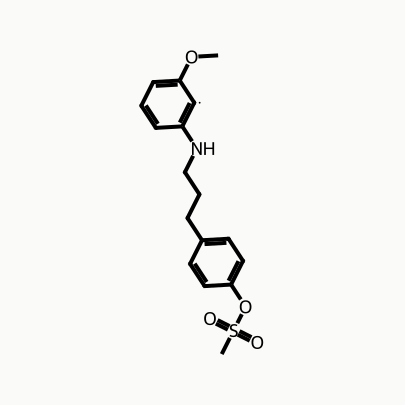 COc1[c]c(NCCCc2ccc(OS(C)(=O)=O)cc2)ccc1